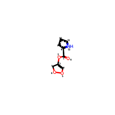 O=C(OC1=COOC1)c1ccc[nH]1